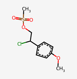 COc1ccc(C(Cl)COS(C)(=O)=O)cc1